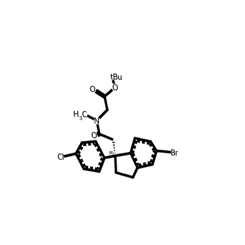 CN(CC(=O)OC(C)(C)C)C(=O)C[C@@]1(c2ccc(Cl)cc2)CCc2cc(Br)ccc21